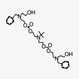 CC(C)(C)N(CCOC(=O)OCCN(CCO)Cc1ccccc1)CCOC(=O)OCCN(CCO)Cc1ccccc1